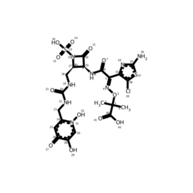 CC(C)(ON=C(C(=O)N[C@@H]1C(=O)N(S(=O)(=O)O)[C@@H]1CNC(=O)NCc1cc(=O)c(O)cn1O)c1nc(N)sc1Cl)C(=O)O